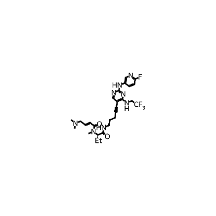 CC[C@@H](C(=O)NCCCC#Cc1cnc(Nc2ccc(F)nc2)nc1NCC(F)(F)F)N(C)C(=O)/C=C/CN(C)C